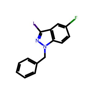 Fc1ccc2c(c1)c(I)nn2Cc1ccccc1